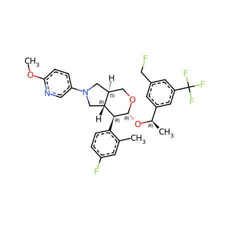 COc1ccc(N2C[C@H]3CO[C@H](O[C@H](C)c4cc(CF)cc(C(F)(F)F)c4)[C@@H](c4ccc(F)cc4C)[C@@H]3C2)cn1